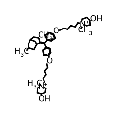 CC1CC2CC(C)C(=C(c3ccc(OCCCCCC[N+]4(C)CCC(O)CC4)cc3)c3ccc(OCCCCCC[N+]4(C)CCC(O)CC4)cc3)C(C1)C2